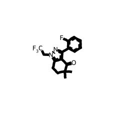 CC1(C)CCc2c(c(-c3ccccc3F)nn2CC(F)(F)F)C1=O